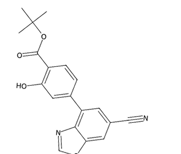 CC(C)(C)OC(=O)c1ccc(-c2cc(C#N)cc3ocnc23)cc1O